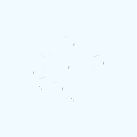 N#Cc1ccc(C(=O)N(Cc2ccccc2)[C@@H](COc2cccc(C#N)c2)CC(=O)OCc2ccccc2)cc1